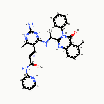 CCC(Nc1nc(N)nc(C)c1/C=C/C(=O)Nc1ccccn1)c1nc2cccc(C)c2c(=O)n1-c1ccccc1